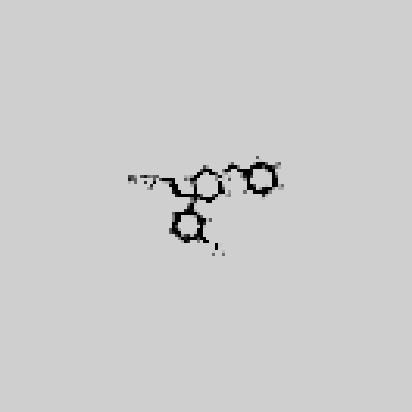 CCOC(=O)C=CC1(c2cccc(C(F)(F)F)c2)CCN(Cc2ccccc2)CC1